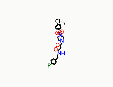 Cc1ccc(S(=O)(=O)N2CCN(CC(=O)CC(=O)NCCc3ccc(F)cc3)CC2)cc1